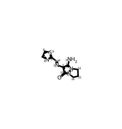 Nc1c(N=Nc2nccs2)c(=O)n2n1CCC2